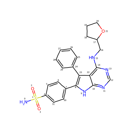 NS(=O)(=O)c1ccc(-c2[nH]c3ncnc(NCC4CCCO4)c3c2-c2ccccc2)cc1